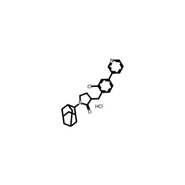 Cl.O=C1C(Cc2ccc(-c3cccnc3)cc2Cl)CCN1C1C2CC3CC(C2)CC1C3